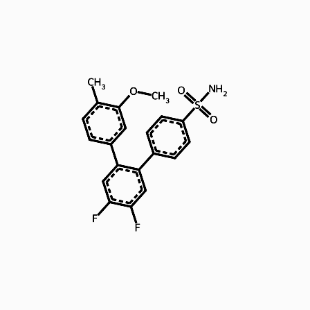 COc1cc(-c2cc(F)c(F)cc2-c2ccc(S(N)(=O)=O)cc2)ccc1C